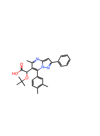 Cc1ccc(-c2c(C(OC(C)(C)C)C(=O)O)c(C)nc3cc(-c4ccccc4)nn23)cc1C